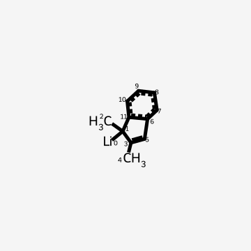 [Li][C]1(C)C(C)=Cc2ccccc21